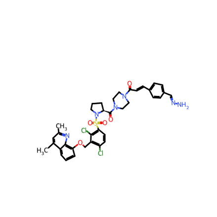 Cc1cc(C)c2cccc(OCc3c(Cl)ccc(S(=O)(=O)N4CCC[C@H]4C(=O)N4CCN(C(=O)C=Cc5ccc(C=NN)cc5)CC4)c3Cl)c2n1